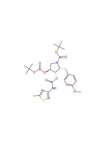 COc1ccc(C[C@@H]2[C@H](OC(=O)Nc3nsc(C)n3)[C@@H](OC(=O)OC(C)(C)C)CN2C(=O)OC(C)(C)C)cc1